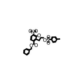 Cc1ccc(S(=O)(=O)OCC2Cc3c(C(=O)OCc4ccccc4)ccc([N+](=O)[O-])c3O2)cc1